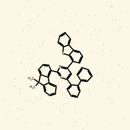 CC1(C)c2ccccc2-c2c(-c3nc(-c4ccccc4-c4ccccc4)cc(-c4cccc5c4sc4ccccc45)n3)cccc21